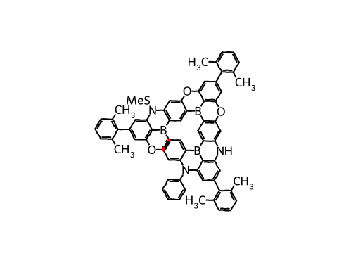 CSN1c2cc3c(cc2B2c4ccccc4Oc4cc(-c5c(C)cccc5C)cc1c42)B1c2cc4c(cc2Oc2cc(-c5c(C)cccc5C)cc(c21)O3)Nc1cc(-c2c(C)cccc2C)cc2c1B4c1ccccc1N2c1ccccc1